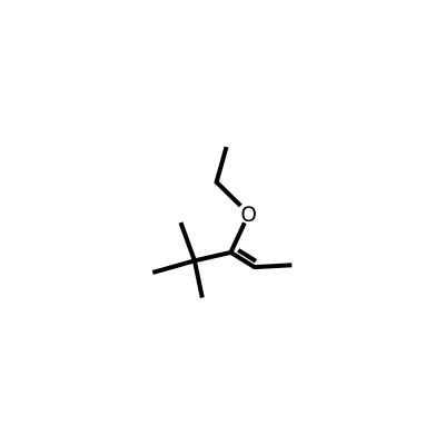 CC=C(OCC)C(C)(C)C